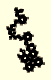 COc1cc(C2(c3ccc(C)c(OC(=O)Oc4ccccc4CCC[Si](C)(C)O[Si](C)(C)CCCc4ccccc4OC(C)=O)c3)c3ccccc3-c3ccccc32)ccc1C